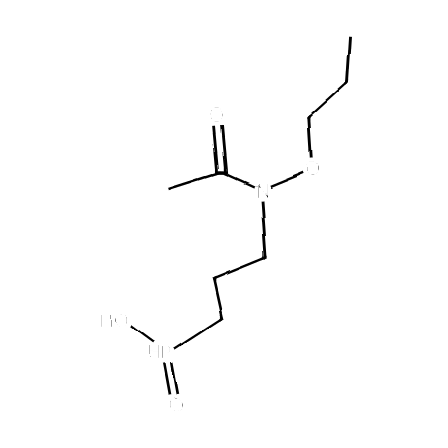 CCCON(CCC[PH](=O)O)C(C)=O